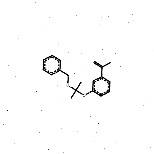 C=C(C)c1cccc(OC(C)(C)OCc2ccccc2)c1